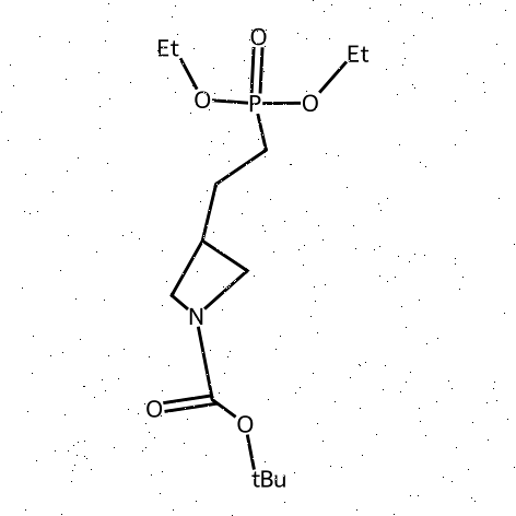 CCOP(=O)(CCC1CN(C(=O)OC(C)(C)C)C1)OCC